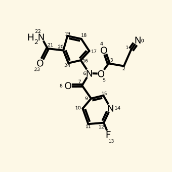 N#CCC(=O)ON(C(=O)c1ccc(F)nc1)c1cccc(C(N)=O)c1